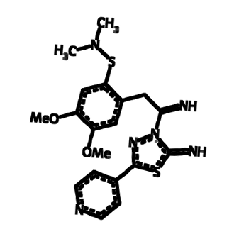 COc1cc(CC(=N)n2nc(-c3ccncc3)sc2=N)c(SN(C)C)cc1OC